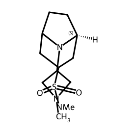 CNS(=O)(=O)C1CC2CC[C@@H](C1)N2C1CN(C)C1